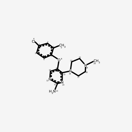 Cc1cc(Cl)ccc1Oc1cnc(N)nc1N1CCN(C)CC1